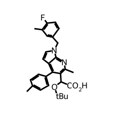 Cc1ccc(-c2c(C(OC(C)(C)C)C(=O)O)c(C)nc3c2ccn3Cc2ccc(F)c(C)c2)cc1